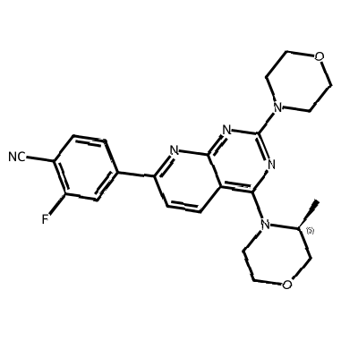 C[C@H]1COCCN1c1nc(N2CCOCC2)nc2nc(-c3ccc(C#N)c(F)c3)ccc12